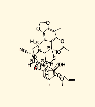 C=CCOC(=O)N[C@@H]1CS[C@@H]2c3c(OC(C)=O)c(C)c4c(c3[C@H](COC1=O)N1C2[C@@H]2c3c(cc(C)c(OC)c3O)C[C@H]([C@@H]1C#N)N2C)OCO4